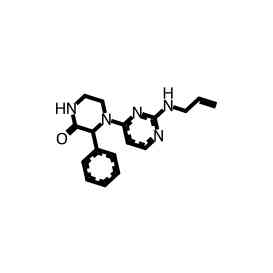 C=CCNc1nccc(N2CCNC(=O)C2c2ccccc2)n1